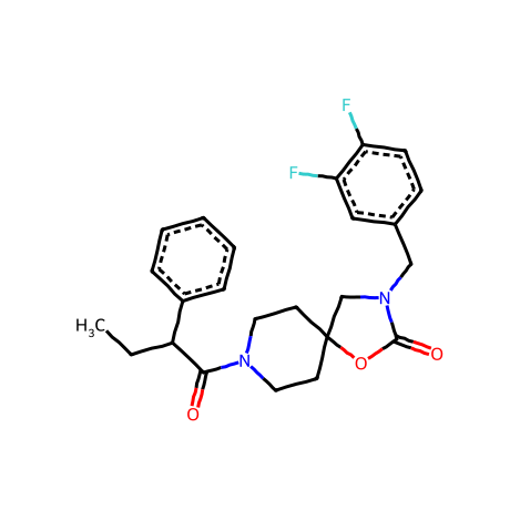 CCC(C(=O)N1CCC2(CC1)CN(Cc1ccc(F)c(F)c1)C(=O)O2)c1ccccc1